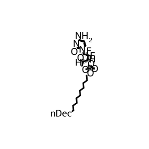 CCCCCCCCCCCCCCCCCCCCOP1(=O)OC[C@H]2O[C@@H](n3ccc(N)nc3=O)C(F)(F)[C@@H]2O1